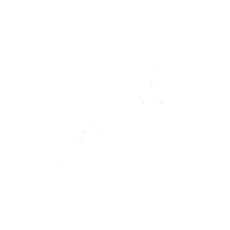 CC(C)(C)OC(=O)N[C@@H](C(=O)Nc1ccc(-c2ccnc(N(OC(=O)O)OC(=O)O)n2)cc1)c1ccccc1